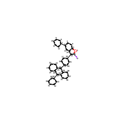 Ic1oc2ccc(-c3ccccc3)cc2c1-c1ccc(-c2c3ccccc3c(-c3ccccc3)c3ccccc23)cc1